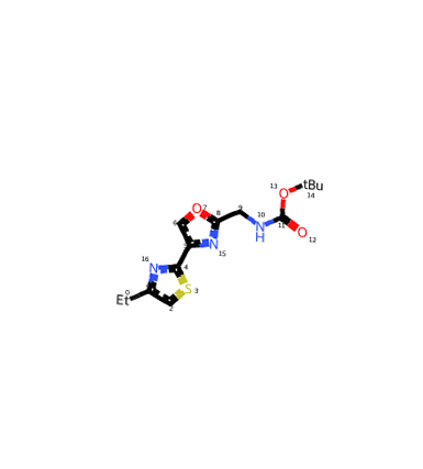 CCc1csc(-c2coc(CNC(=O)OC(C)(C)C)n2)n1